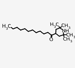 CCCCCCCCCCCC(=O)C1CC(C)(C)NC(C)(C)C1